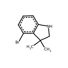 CC1(C)CNc2cccc(Br)c21